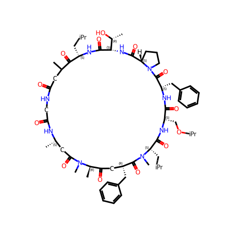 CC(C)C[C@@H]1NC(=O)[C@H]([C@@H](C)O)NC(=O)[C@@H]2CCCN2C(=O)[C@H](Cc2ccccc2)NC(=O)[C@H](COC(C)C)NC(=O)[C@H](CC(C)C)N(C)C(=O)[C@H](Cc2ccccc2)CC(=O)[C@@H](C)N(C)C(=O)C[C@H](C)NC(=O)CNC(=O)CC(C)C1=O